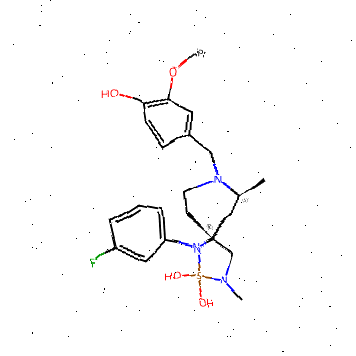 CC(C)Oc1cc(CN2CC[C@@]3(C[C@@H]2C)CN(C)S(O)(O)N3c2cccc(F)c2)ccc1O